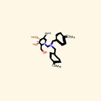 COc1ccc(CN(Cc2ccc(OC)cc2)CN2CC(NC(C)=O)[C@@H](O)[C@H](O)C2CO)cc1